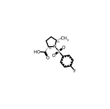 C[C@H]1CC[C@@H](C(=O)O)N1S(=O)(=O)c1ccc(F)cc1